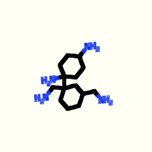 NCC1CCCC(CN)(C2(N)CCC(N)CC2)C1